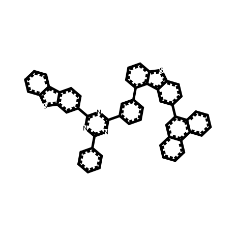 c1ccc(-c2nc(-c3cccc(-c4cccc5sc6ccc(-c7cc8ccccc8c8ccccc78)cc6c45)c3)nc(-c3ccc4c(c3)sc3ccccc34)n2)cc1